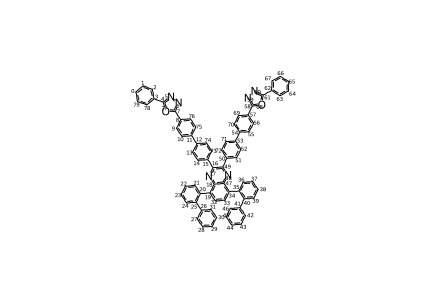 c1ccc(-c2nnc(-c3ccc(-c4ccc(-c5nc6c(-c7ccccc7-c7ccccc7)ccc(-c7ccccc7-c7ccccc7)c6nc5-c5ccc(-c6ccc(-c7nnc(-c8ccccc8)o7)cc6)cc5)cc4)cc3)o2)cc1